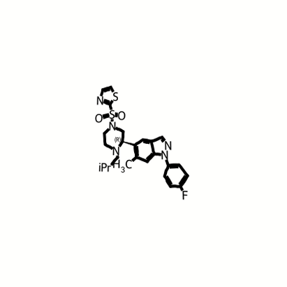 Cc1cc2c(cnn2-c2ccc(F)cc2)cc1[C@@H]1CN(S(=O)(=O)c2nccs2)CCN1CC(C)C